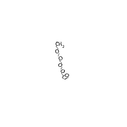 C=CCOCCOCCOCCOCc1ccco1